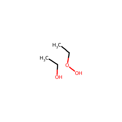 CCO.CCOO